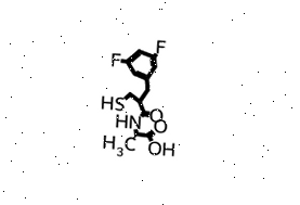 C[C@H](NC(=O)C(CS)Cc1cc(F)cc(F)c1)C(=O)O